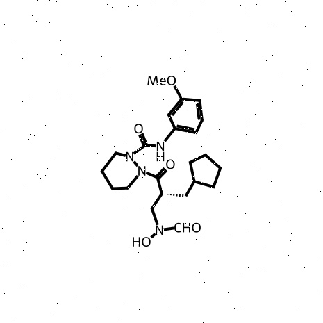 COc1cccc(NC(=O)N2CCCCN2C(=O)[C@H](CC2CCCC2)CN(O)C=O)c1